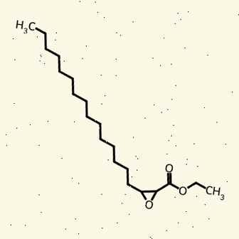 CCCCCCCCCCCCCCCC1OC1C(=O)OCC